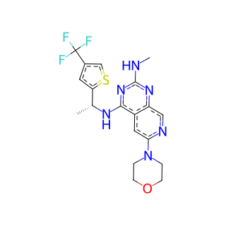 CNc1nc(N[C@H](C)c2cc(C(F)(F)F)cs2)c2cc(N3CCOCC3)ncc2n1